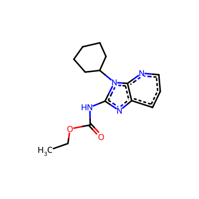 CCOC(=O)Nc1nc2cccnc2n1C1CCCCC1